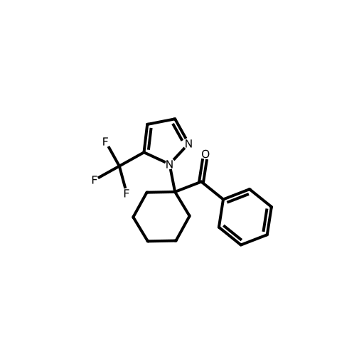 O=C(c1ccccc1)C1(n2nccc2C(F)(F)F)CCCCC1